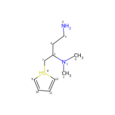 CN(C)C(CCN)C[SH]1C=CC=C1